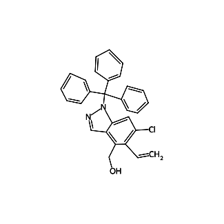 C=Cc1c(Cl)cc2c(cnn2C(c2ccccc2)(c2ccccc2)c2ccccc2)c1CO